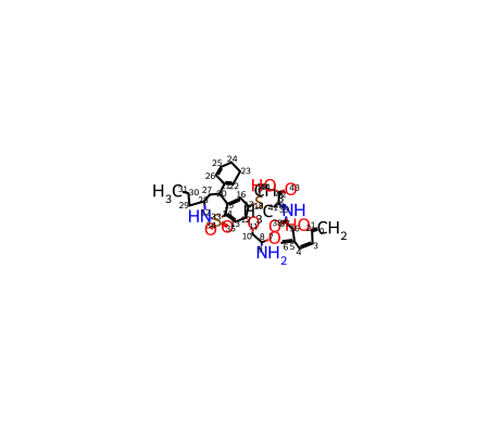 C=C(O)/C=C\C(=C\OC(N)COC1C=C2C(=CC1SC)C(C1=CCCC=C1)CC(CCC)NS2(=O)=O)CC(=O)N[C@@H](C)C(=O)O